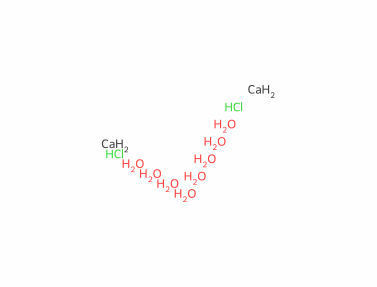 Cl.Cl.O.O.O.O.O.O.O.O.[CaH2].[CaH2]